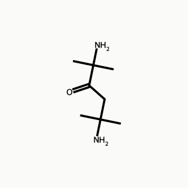 CC(C)(N)CC(=O)C(C)(C)N